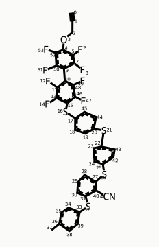 C#CCOc1c(F)c(F)c(-c2c(F)c(F)c(Sc3ccc(Sc4ccc(Sc5cccc(Sc6ccc(C)cc6)c5C#N)cc4)cc3)c(F)c2F)c(F)c1F